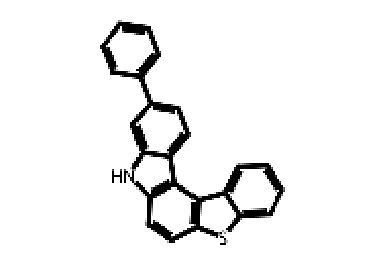 c1ccc(-c2ccc3c(c2)[nH]c2ccc4sc5ccccc5c4c23)cc1